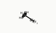 C[C@]12CC[C@@H]3c4ccc(O)cc4C[C@@H](CCCCCCCCC[S+]([O-])CCCC(F)(F)C(F)(F)F)C3[C@@H]1CC[C@@H]2O